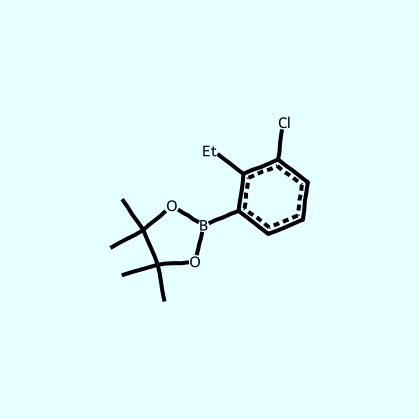 CCc1c(Cl)cccc1B1OC(C)(C)C(C)(C)O1